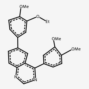 CCOc1cc(-c2ccc3ncnc(-c4ccc(OC)c(OC)c4)c3c2)ccc1OC